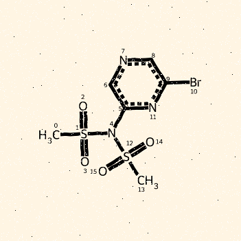 CS(=O)(=O)N(c1cncc(Br)n1)S(C)(=O)=O